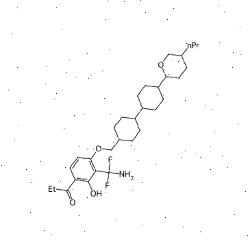 CCCC1CCC(C2CCC(C3CCC(COc4ccc(C(=O)CC)c(O)c4C(N)(F)F)CC3)CC2)OC1